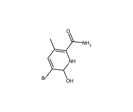 CC1=C(C(N)=O)NC(O)C(Br)=C1